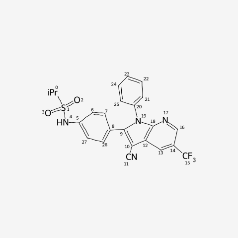 CC(C)S(=O)(=O)Nc1ccc(-c2c(C#N)c3cc(C(F)(F)F)cnc3n2-c2ccccc2)cc1